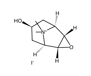 C[N+]1(C)[C@@H]2C[C@@H](O)C[C@H]1[C@@H]1O[C@@H]12.[I-]